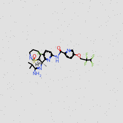 CC1(C)C(N)=N[C@](C)(c2nc(NC(=O)c3ccc(OCC(F)(F)C(F)F)cn3)ccc2F)[C@@H]2CCCCN=[S@]21=O